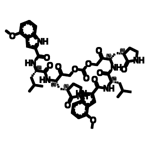 COc1cccc2[nH]c(C(=O)N[C@@H](CC(C)C)C(=O)N[C@@H](C[C@@H]3CCNC3=O)C(=O)COC(=O)OCC(=O)[C@H](C[C@@H]3CCNC3=O)NC(=O)[C@H](CC(C)C)NC(=O)c3cc4c(OC)cccc4[nH]3)cc12